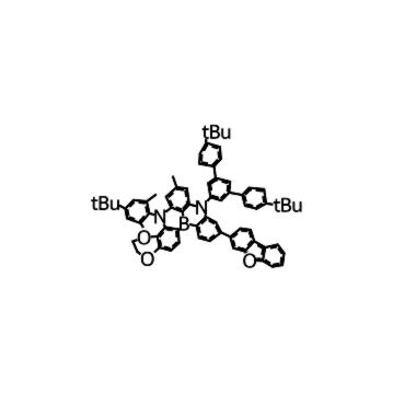 Cc1cc2c3c(c1)N(c1c(C)cc(C(C)(C)C)cc1C)c1c(ccc4c1OCCO4)B3c1ccc(-c3ccc4c(c3)oc3ccccc34)cc1N2c1cc(-c2ccc(C(C)(C)C)cc2)cc(-c2ccc(C(C)(C)C)cc2)c1